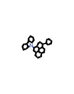 c1ccc(-c2ccc3c(-n4c5ccccc5c5ccccc54)cc4cccc5ccc2c3c54)cc1